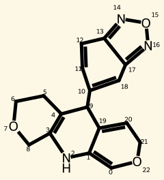 C1=C2NC3=C(CCOC3)C(c3ccc4nonc4c3)C2=CCO1